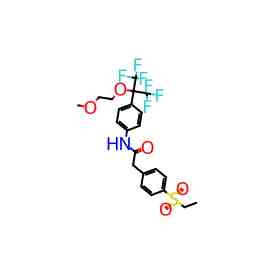 CCS(=O)(=O)c1ccc(CC(=O)Nc2ccc(C(OCCOC)(C(F)(F)F)C(F)(F)F)cc2)cc1